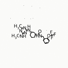 CNc1nc(C)nc(N[C@H]2CCC[C@@H](C(=O)NCc3ccccc3OC(F)(F)F)C2)n1